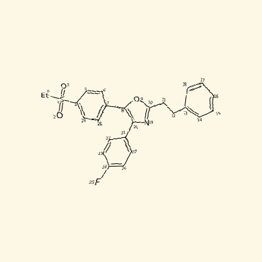 CCS(=O)(=O)c1ccc(-c2oc(CCc3ccccc3)nc2-c2ccc(F)cc2)cc1